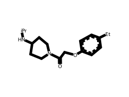 CCc1ccc(OCC(=O)N2CCC(NC(C)C)CC2)cc1